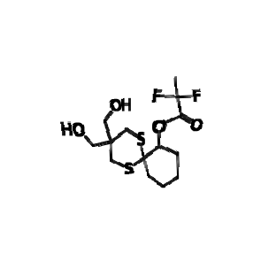 CC(F)(F)C(=O)OC1CCCCC12SCC(CO)(CO)CS2